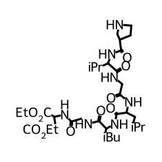 CCOC(=O)C(NC(=O)CNC(=O)C(NC(=O)C(CC(C)C)NC(=O)CNC(=O)C(NC(=O)C1CCNC1)C(C)C)C(C)CC)C(=O)OCC